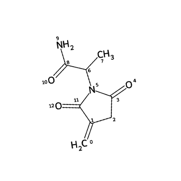 C=C1CC(=O)N(C(C)C(N)=O)C1=O